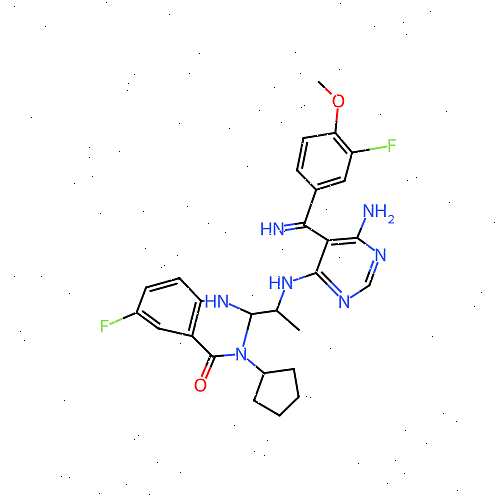 COc1ccc(C(=N)c2c(N)ncnc2NC(C)C2Nc3ccc(F)cc3C(=O)N2C2CCCC2)cc1F